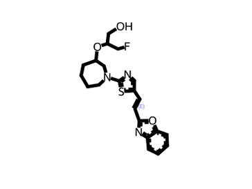 OCC(CF)OC1CCCCN(c2ncc(/C=C/c3nc4ccccc4o3)s2)C1